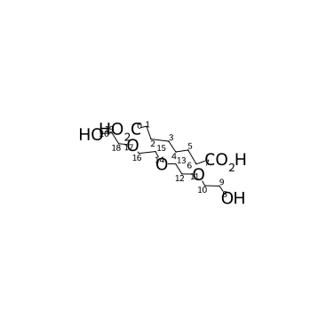 O=C(O)CCCCCCC(=O)O.OCCOCCOCCOCCO